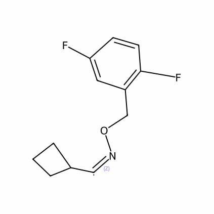 Fc1ccc(F)c(CO/N=[C]\C2CCC2)c1